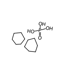 C1CCCCC1.C1CCCCC1.O=P(O)(O)O